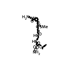 CC#CC(C)OCC1O[C@@H](BC#CCNC(=O)COCCOC(COc2cccc(C(=O)NCCN)c2)SSC)C[C@H]1OC(=O)OCN